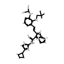 CC(C)(C)COc1c(/C=C/c2nc3sccn3c2C(=O)Nc2nc(C3CCC3)cs2)cccc1OC(F)F